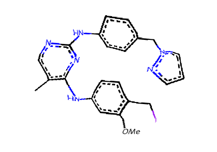 COc1cc(Nc2nc(Nc3ccc(Cn4cccn4)cc3)ncc2C)ccc1CI